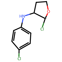 Cl[C]1OCCC1Nc1ccc(Cl)cc1